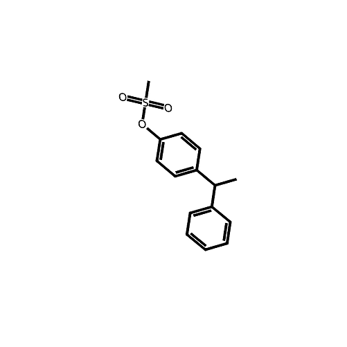 CC(c1ccccc1)c1ccc(OS(C)(=O)=O)cc1